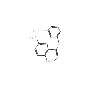 C/C=C(/Nc1cccc(N)c1)c1cc(N)ccc1N